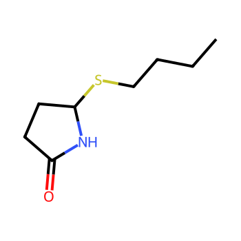 CCCCSC1CCC(=O)N1